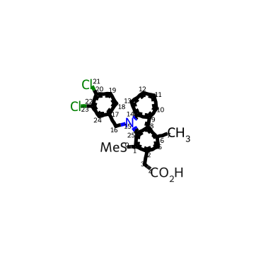 CSc1c(CC(=O)O)cc(C)c2c3ccccc3n(Cc3ccc(Cl)c(Cl)c3)c12